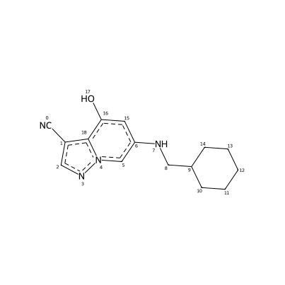 N#Cc1cnn2cc(NCC3CCCCC3)cc(O)c12